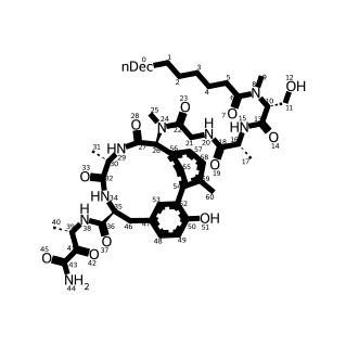 CCCCCCCCCCCCCCCC(=O)N(C)[C@H](CO)C(=O)N[C@H](C)C(=O)NCC(=O)N(C)[C@@H]1C(=O)N[C@@H](C)C(=O)N[C@H](C(=O)N[C@@H](C)C(=O)C(N)=O)Cc2ccc(O)c(c2)-c2cc1ccc2C